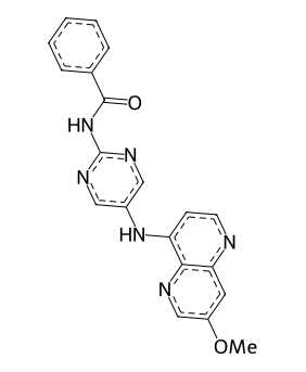 COc1cnc2c(Nc3cnc(NC(=O)c4ccccc4)nc3)ccnc2c1